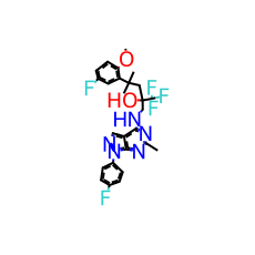 COc1ccc(F)cc1C(C)(C)CC(O)(CNc1nc(C)nc2c1cnn2-c1ccc(F)cc1)C(F)(F)F